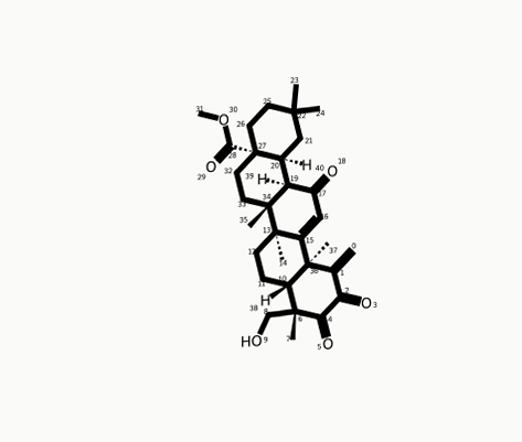 C=C1C(=O)C(=O)[C@](C)(CO)[C@@H]2CC[C@]3(C)C(=CC(=O)[C@@H]4[C@@H]5CC(C)(C)CC[C@]5(C(=O)OC)CC[C@]43C)[C@@]12C